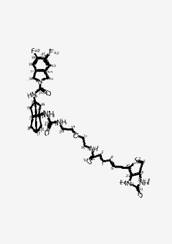 O=C(CCCCC1SCC2NC(=O)NC21)NCCOCCNC(=O)NC12CC3CC1CC3(NC(=O)N1Cc3cc(F)c(F)cc3C1)C2